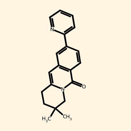 CC1(C)CCc2cc3cc(-c4ccccn4)ccc3c(=O)n2C1